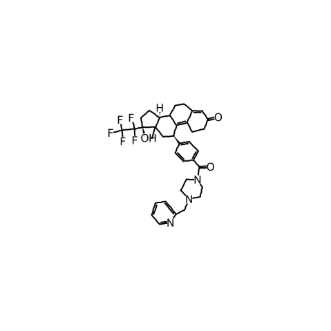 CC12C[C@H](c3ccc(C(=O)N4CCN(Cc5ccccn5)CC4)cc3)C3=C4CCC(=O)C=C4CCC3[C@@H]1CC[C@@]2(O)C(F)(F)C(F)(F)F